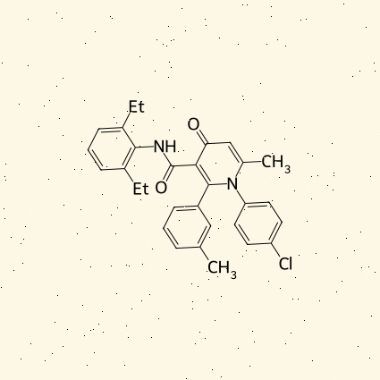 CCc1cccc(CC)c1NC(=O)c1c(-c2cccc(C)c2)n(-c2ccc(Cl)cc2)c(C)cc1=O